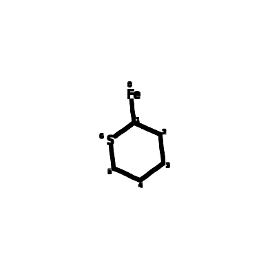 [Fe][CH]1CCCCS1